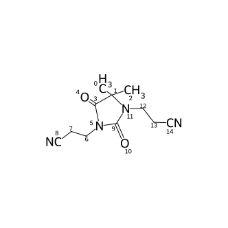 CC1(C)C(=O)N(CCC#N)C(=O)N1CCC#N